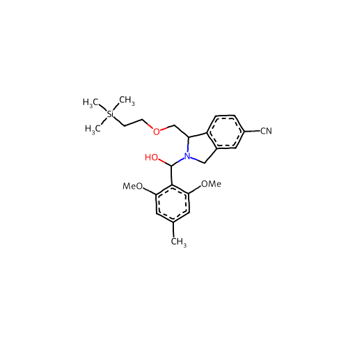 COc1cc(C)cc(OC)c1C(O)N1Cc2cc(C#N)ccc2C1COCC[Si](C)(C)C